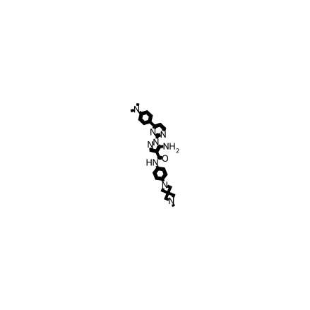 CN1CC2(C1)CN(c1ccc(NC(=O)c3cnn(-c4nccc(-c5ccc(N(C)C)cc5)n4)c3N)cc1)C2